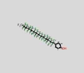 Oc1ccc(C(F)(F)C(F)(F)C(F)(F)C(F)(F)C(F)(F)C(F)(F)C(F)(F)C(F)(F)C(F)(F)C(F)(F)C(F)(F)C(F)(F)C(F)(F)C(F)(F)F)cc1